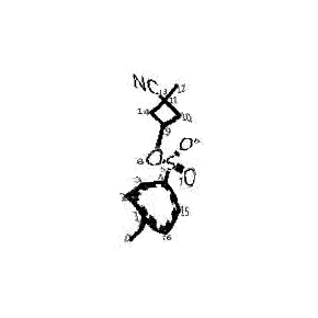 Cc1ccc(S(=O)(=O)OC2CC(C)(C#N)C2)cc1